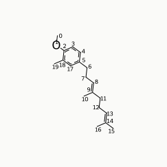 COc1ccc(CC/C=C(\C)CCC=C(C)C)cc1C